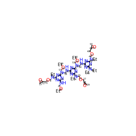 CCOCNc1nc(N(CC)COCC2CO2)nc(N(CNc2nc(N(CC)COCC3CO3)nc(N(CNc3nc(N(CC)CC)nc(N(CC)COCC4CO4)n3)COCC)n2)COCC)n1